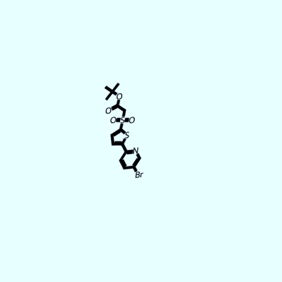 CC(C)(C)OC(=O)CS(=O)(=O)c1ccc(-c2ccc(Br)cn2)s1